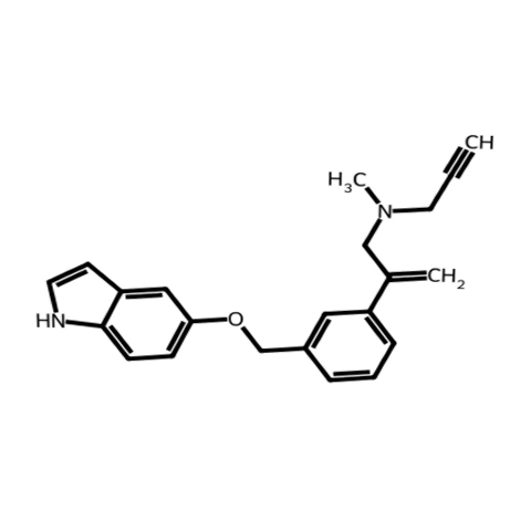 C#CCN(C)CC(=C)c1cccc(COc2ccc3[nH]ccc3c2)c1